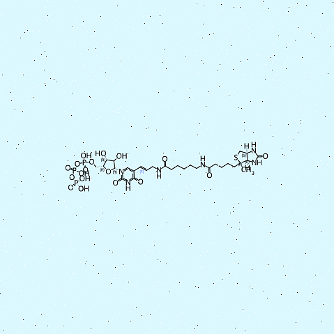 C[C@]1(CCCCC(=O)NCCCCCC(=O)NC/C=C/c2cn([C@@H]3O[C@H](COP(=O)(O)OP(=O)(O)OP(=O)(O)O)[C@H](O)C3O)c(=O)[nH]c2=O)SC[C@H]2NC(=O)N[C@H]21